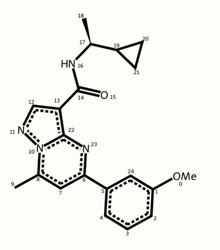 COc1cccc(-c2cc(C)n3ncc(C(=O)N[C@@H](C)C4CC4)c3n2)c1